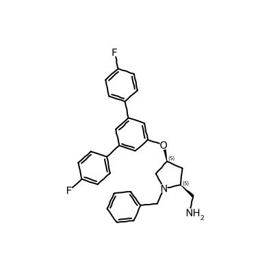 NC[C@@H]1C[C@H](Oc2cc(-c3ccc(F)cc3)cc(-c3ccc(F)cc3)c2)CN1Cc1ccccc1